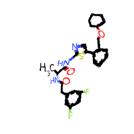 CC(NC(=O)Cc1cc(F)cc(F)c1)C(=O)Nc1ncc(-c2ccccc2COC2CCCCC2)s1